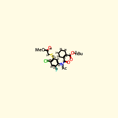 CCCCOC(=O)C1=C(C(=O)N(C(C)=O)c2cc(SCC(=O)OC)c(Cl)cc2F)CCCC1